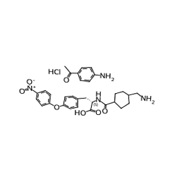 CC(=O)c1ccc(N)cc1.Cl.NCC1CCC(C(=O)N[C@@H](Cc2ccc(Oc3ccc([N+](=O)[O-])cc3)cc2)C(=O)O)CC1